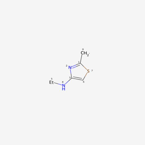 [CH2]c1nc(NCC)cs1